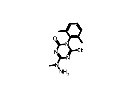 CCc1nc(N(C)N)nc(=O)n1-c1c(C)cccc1C